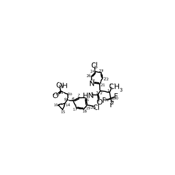 CC(C(C(=O)Nc1cc(C(CC(=O)O)C2CC2)ccc1Cl)c1ccc(Cl)cn1)C(F)(F)F